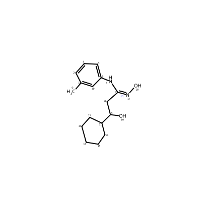 Cc1cccc(N/C(CC(O)C2CCCCC2)=N\O)c1